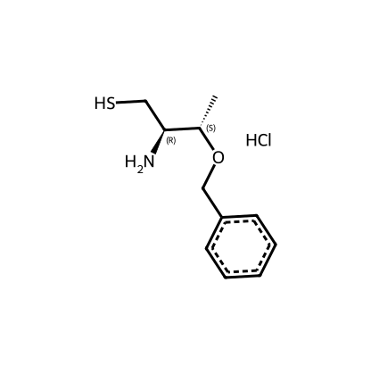 C[C@H](OCc1ccccc1)[C@@H](N)CS.Cl